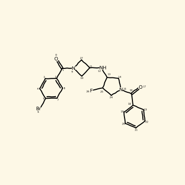 O=C(c1ccc(Br)cc1)N1CC(NC2CN(C(=O)c3ccccc3)CC2F)C1